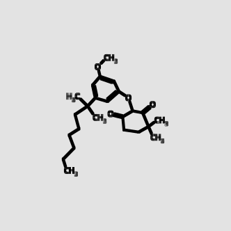 CCCCCCC(C)(C)c1cc(OC)cc(OC2C(=O)CCC(C)(C)C2=O)c1